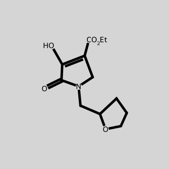 CCOC(=O)C1=C(O)C(=O)N(CC2CCCO2)C1